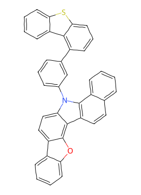 c1cc(-c2cccc3sc4ccccc4c23)cc(-n2c3ccc4c5ccccc5oc4c3c3ccc4ccccc4c32)c1